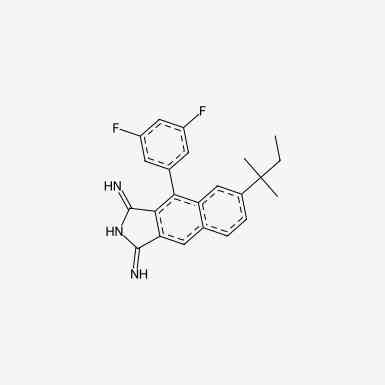 CCC(C)(C)c1ccc2cc3c(c(-c4cc(F)cc(F)c4)c2c1)C(=N)NC3=N